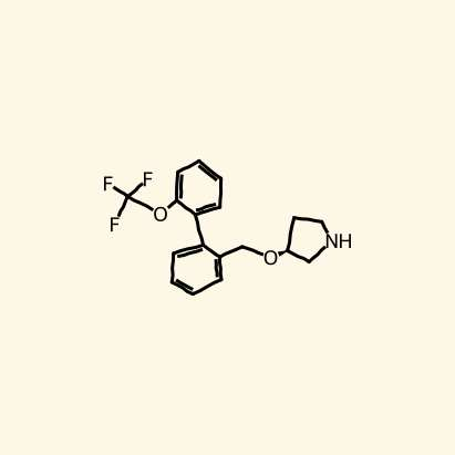 FC(F)(F)Oc1ccccc1-c1ccccc1CO[C@H]1CCNC1